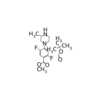 CC(C)(C)OC=O.COC(=O)c1cc(F)c(N2CCNC(C)C2)cc1F